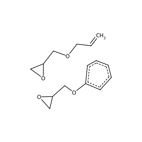 C=CCOCC1CO1.c1ccc(OCC2CO2)cc1